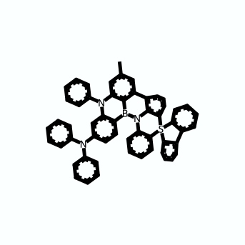 Cc1cc2c3c(c1)N(c1ccccc1)c1cc(N(c4ccccc4)c4ccccc4)ccc1B3N1c3ccccc3S3(c4ccccc4-c4ccccc43)c3cccc-2c31